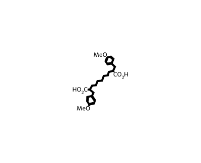 COc1ccc(CC(CCCCCCCC(Cc2ccc(OC)cc2)C(=O)O)C(=O)O)cc1